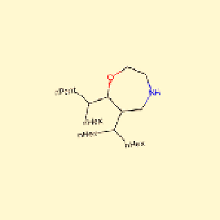 CCCCCCC(CCCCCC)C1CNCCOC1C(CCCCC)CCCCCC